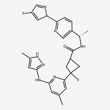 Cc1cc(Nc2cc(C)[nH]n2)nc(C2(F)CC(C(=O)N[C@@H](C)c3ccc(-n4cc(F)cn4)nc3)C2)c1